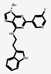 CC[C@@H](C)n1cnc2c(NCCc3c[nH]c4ccccc34)nc(-c3cncc(F)c3)nc21